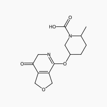 CC1CCC(OC2=NCC(=O)C3=C2COC3)CN1C(=O)O